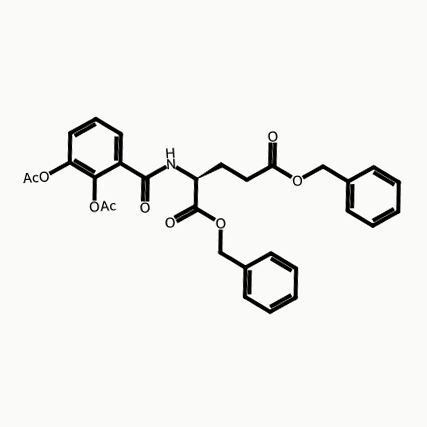 CC(=O)Oc1cccc(C(=O)N[C@@H](CCC(=O)OCc2ccccc2)C(=O)OCc2ccccc2)c1OC(C)=O